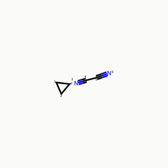 C1CC1.N#CC#N